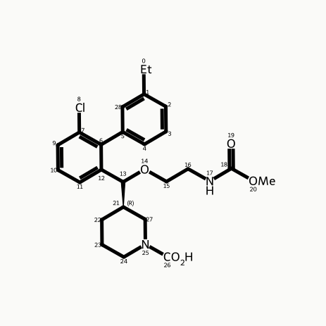 CCc1cccc(-c2c(Cl)cccc2C(OCCNC(=O)OC)[C@@H]2CCCN(C(=O)O)C2)c1